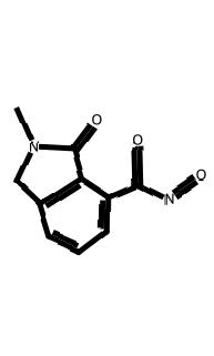 CN1Cc2cccc(C(=O)N=O)c2C1=O